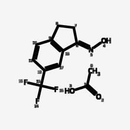 CC(=O)O.ON=C1CCc2ccc(C(F)(F)F)cc21